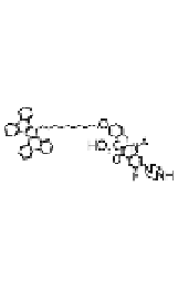 O=C(O)c1c(Cc2ccc(OCCCCCCCCCCC3c4c(c5ccccc5c5ccccc45)-c4c3c3ccccc3c3ccccc43)cc2)n(C2CC2)c2cc(N3CCNCC3)c(F)cc2c1=O